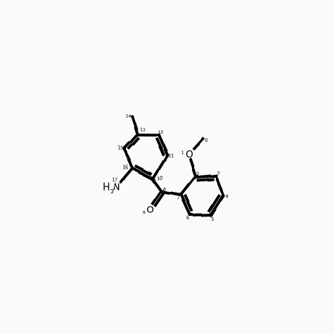 COc1ccccc1C(=O)c1ccc(C)cc1N